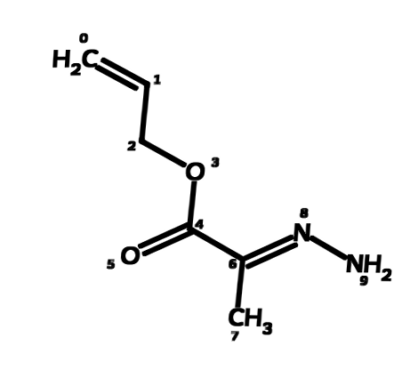 C=CCOC(=O)C(C)=NN